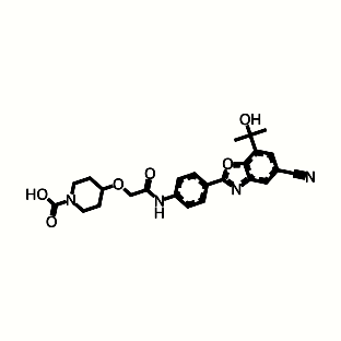 CC(C)(O)c1cc(C#N)cc2nc(-c3ccc(NC(=O)COC4CCN(C(=O)O)CC4)cc3)oc12